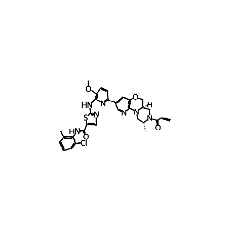 C=CC(=O)N1C[C@@H]2COc3cc(-c4ccc(OC)c(Nc5ncc(C(=O)Nc6c(C)cccc6Cl)s5)n4)cnc3N2C[C@H]1C